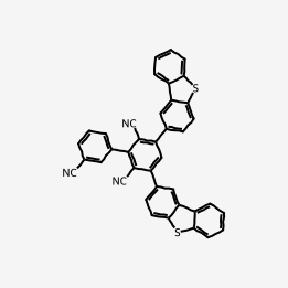 N#Cc1cccc(-c2c(C#N)c(-c3ccc4sc5ccccc5c4c3)cc(-c3ccc4sc5ccccc5c4c3)c2C#N)c1